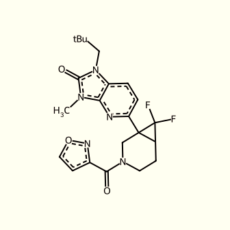 Cn1c(=O)n(CC(C)(C)C)c2ccc(C34CN(C(=O)c5ccon5)CCC3C4(F)F)nc21